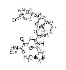 CCNC(=O)C(=O)CC[C@H](NC(=O)c1cncn1C)C(=O)Nc1cccn(CC(=O)NC23CC4CC(C2)C(CC)(C4)C3)c1=O